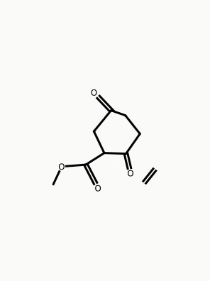 C=C.COC(=O)C1CC(=O)CCC1=O